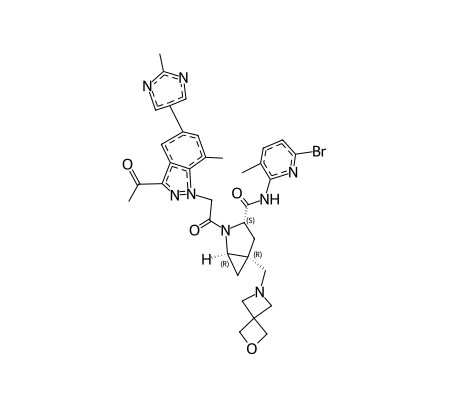 CC(=O)c1nn(CC(=O)N2[C@H](C(=O)Nc3nc(Br)ccc3C)C[C@@]3(CN4CC5(COC5)C4)C[C@@H]23)c2c(C)cc(-c3cnc(C)nc3)cc12